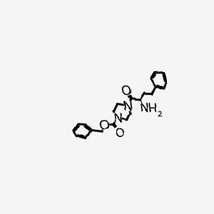 N[C@H](CCc1ccccc1)C(=O)N1CCN(C(=O)OCc2ccccc2)CC1